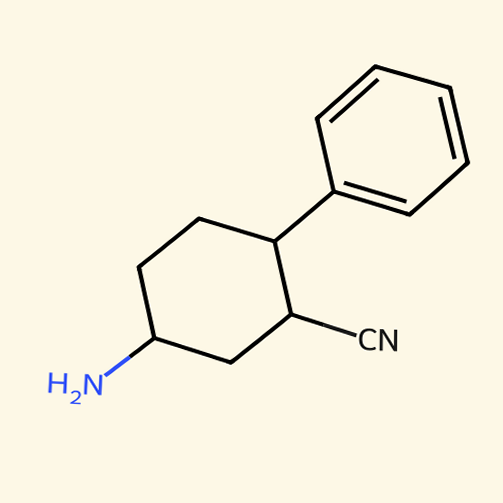 N#CC1CC(N)CCC1c1ccccc1